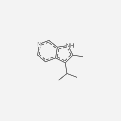 Cc1[nH]c2cnccc2c1C(C)C